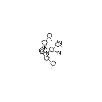 Cc1cccc(-c2ccc3c4ccccc4n(-c4cc(C#N)c(-c5cc(C)nc(C)c5)cc4-n4c5ccccc5c5ccc(-c6ccccc6C)cc54)c3c2)c1